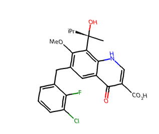 COc1c(Cc2cccc(Cl)c2F)cc2c(=O)c(C(=O)O)c[nH]c2c1[C@@](C)(O)C(C)C